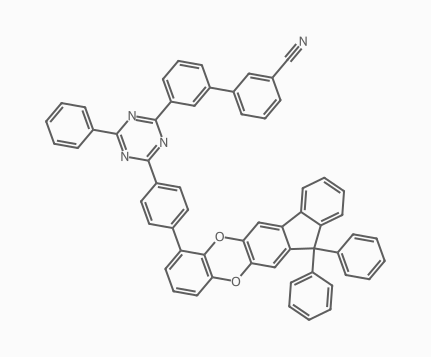 N#Cc1cccc(-c2cccc(-c3nc(-c4ccccc4)nc(-c4ccc(-c5cccc6c5Oc5cc7c(cc5O6)C(c5ccccc5)(c5ccccc5)c5ccccc5-7)cc4)n3)c2)c1